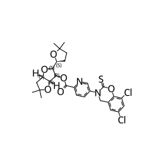 CC1(C)C[C@@H]2O[C@@H]([C@@H]3CCC(C)(C)O3)[C@@H](OC(=O)c3ccc(N4Cc5cc(Cl)cc(Cl)c5OC4=S)cn3)[C@@H]2O1